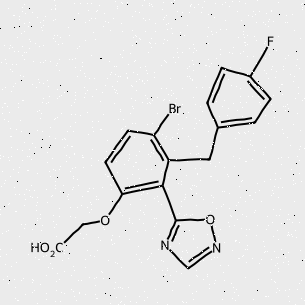 O=C(O)COc1ccc(Br)c(Cc2ccc(F)cc2)c1-c1ncno1